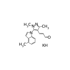 Cc1nn(C)c(-n2ccc3c(C)cccc32)c1/C=C/C=O.[KH]